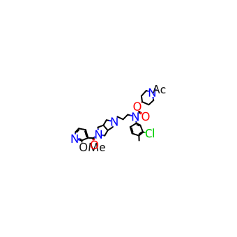 COc1ncccc1C(=O)N1CC2CN(CCCN(C(=O)OC3CCN(C(C)=O)CC3)c3ccc(C)c(Cl)c3)CC2C1